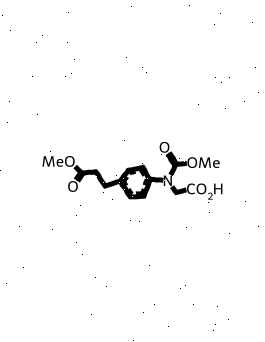 COC(=O)CCc1ccc(N(CC(=O)O)C(=O)OC)cc1